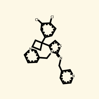 Clc1ccc(C2(c3csc(=NCc4cccnc4)n3Cc3cccnc3)CCC2)cc1Cl